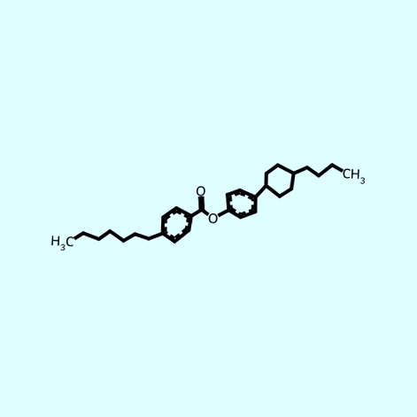 CCCCCCCc1ccc(C(=O)Oc2ccc(C3CCC(CCCC)CC3)cc2)cc1